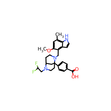 COc1cc(C)c2[nH]ccc2c1CN1CCC2CC1(c1ccc(C(=O)O)cc1)CCN2CC(F)F